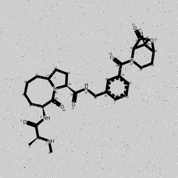 CN[C@@H](C)C(=O)N[C@H]1CCCCC2CC[C@@H](C(=O)NCc3cccc(C(=O)N4CCC5OC(=O)C4[C@@H]5C)c3)N2C1=O